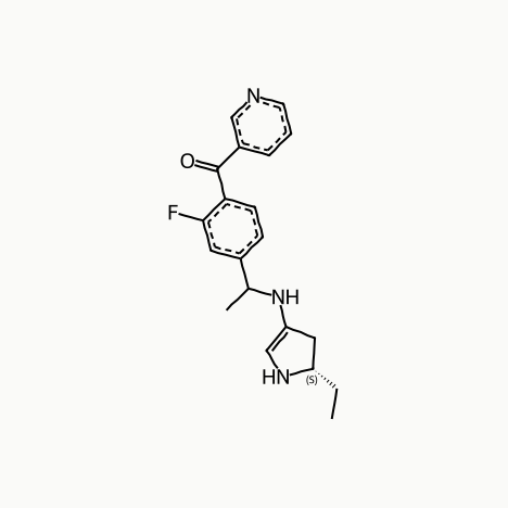 CC[C@H]1CC(NC(C)c2ccc(C(=O)c3cccnc3)c(F)c2)=CN1